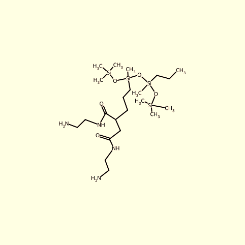 CCC[Si](C)(O[Si](C)(C)C)O[Si](C)(CCCC(CC(=O)NCCN)C(=O)NCCN)O[Si](C)(C)C